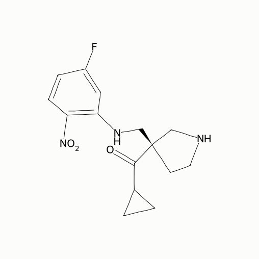 O=C(C1CC1)[C@@]1(CNc2cc(F)ccc2[N+](=O)[O-])CCNC1